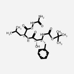 CC(C)C[C@H](NC(=O)[C@@H](O)[C@@H](Cc1ccccc1)NC(=O)OC(C)(C)C)C(=O)ONC(N)=O